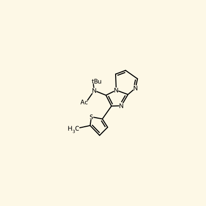 CC(=O)N(c1c(-c2ccc(C)s2)nc2ncccn12)C(C)(C)C